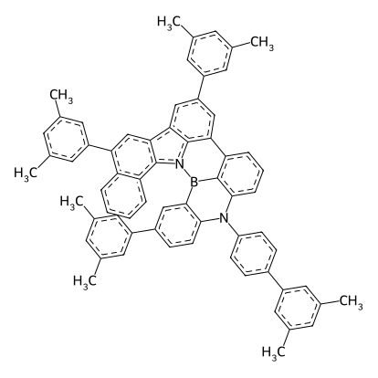 Cc1cc(C)cc(-c2ccc(N3c4ccc(-c5cc(C)cc(C)c5)cc4B4c5c(cccc53)-c3cc(-c5cc(C)cc(C)c5)cc5c6cc(-c7cc(C)cc(C)c7)c7ccccc7c6n4c35)cc2)c1